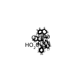 O=C(N[C@@H]1CCCc2ccccc21)[C@@H]1CN2CCC[C@H]2CN1C(=O)[C@H](C1CCOCC1)N(Cc1ccccc1)C(=O)O